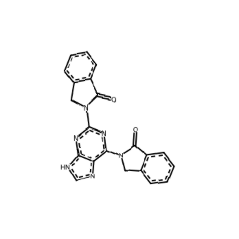 O=C1c2ccccc2CN1c1nc(N2Cc3ccccc3C2=O)c2nc[nH]c2n1